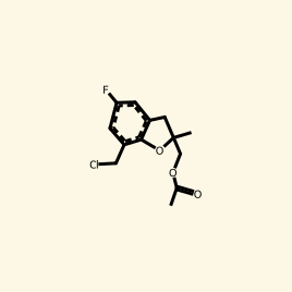 CC(=O)OCC1(C)Cc2cc(F)cc(CCl)c2O1